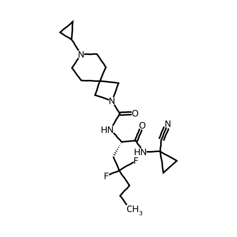 CCCC(F)(F)C[C@H](NC(=O)N1CC2(CCN(C3CC3)CC2)C1)C(=O)NC1(C#N)CC1